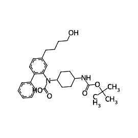 CC(C)(C)OC(=O)NC1CCC(N(C(=O)O)c2cc(CCCCO)ccc2-c2ccccc2)CC1